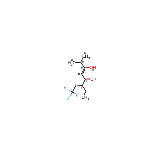 CCC(CC(F)(F)F)C(=O)/C=C(\O)C(C)C